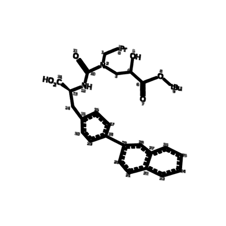 CC(C)CN(CC(O)C(=O)OC(C)(C)C)C(=O)N[C@@H](Cc1ccc(-c2ccc3ccccc3c2)cc1)C(=O)O